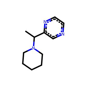 CC(c1cnccn1)N1CCCCC1